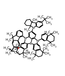 CC(C)(C)c1ccc2c(c1)C(C)(C)c1cccc(N3c4cc5c(cc4B4c6cc7c(cc6N(c6ccc8c(c6)C(C)(C)CCC8(C)C)c6cc(N8c9ccc(C(C)(C)C)cc9C9(C)CCCCC89C)cc3c64)C(C)(C)CCC7(C)C)C(C)(C)CCC5(C)C)c1-2